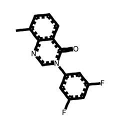 Cc1cccc2c(=O)n(-c3cc(F)cc(F)c3)cnc12